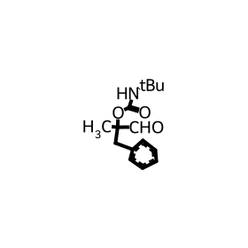 CC(C)(C)NC(=O)OC(C)(C=O)Cc1ccccc1